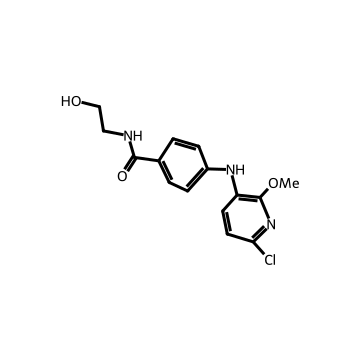 COc1nc(Cl)ccc1Nc1ccc(C(=O)NCCO)cc1